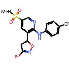 CNS(=O)(=O)c1cnc(Nc2ccc(C(F)(F)F)cc2)c(C2CC(Br)=NO2)c1